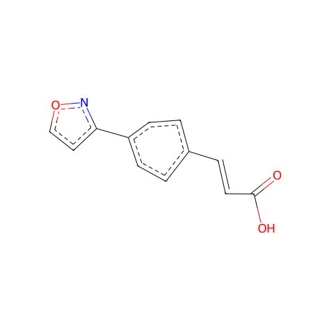 O=C(O)C=Cc1ccc(-c2ccon2)cc1